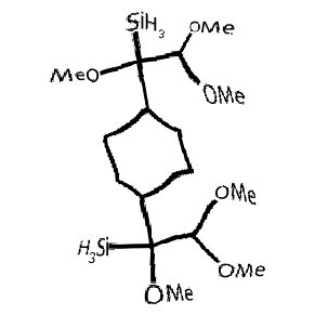 COC(OC)C([SiH3])(OC)C1CCC(C([SiH3])(OC)C(OC)OC)CC1